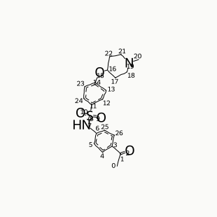 CC(=O)c1ccc(NS(=O)(=O)c2ccc(OC3CCN(C)CC3)cc2)cc1